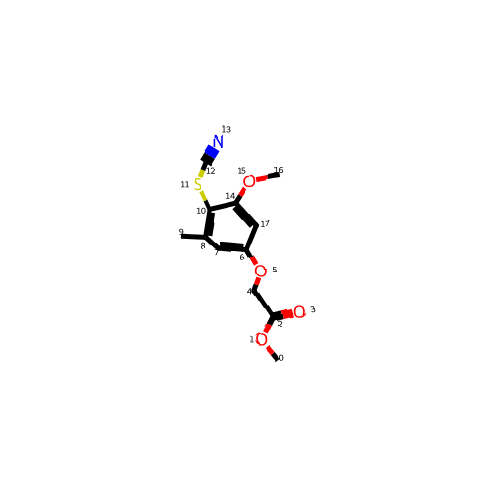 COC(=O)COc1cc(C)c(SC#N)c(OC)c1